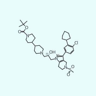 CC(C)(C)OC(=O)N1CCC(C2CCN(C[C@H](O)Cn3nc(-c4ccc(Cl)c(C5CCCCC5)c4)c4c3CCN(S(C)(=O)=O)C4)CC2)CC1